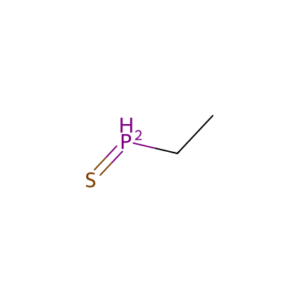 CC[PH2]=S